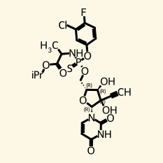 C#C[C@@]1(O)[C@H](O)[C@@H](COP(=S)(NC(C)C(=O)OC(C)C)Oc2ccc(F)c(Cl)c2)O[C@H]1n1ccc(=O)[nH]c1=O